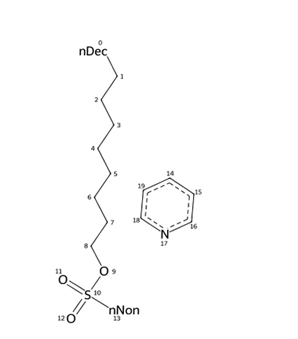 CCCCCCCCCCCCCCCCCCOS(=O)(=O)CCCCCCCCC.c1ccncc1